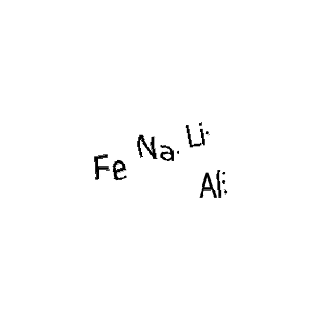 [Al].[Fe].[Li].[Na]